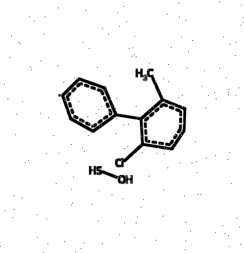 Cc1cccc(Cl)c1-c1cc[c]cc1.OS